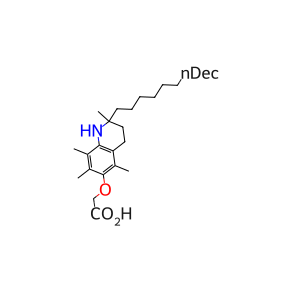 CCCCCCCCCCCCCCCCC1(C)CCc2c(C)c(OCC(=O)O)c(C)c(C)c2N1